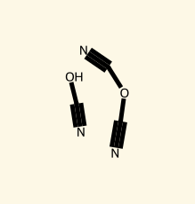 N#CO.N#COC#N